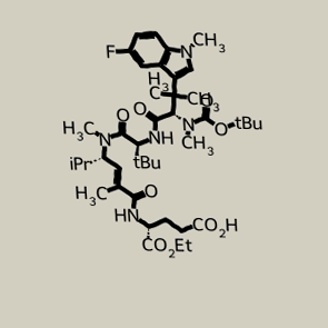 CCOC(=O)[C@@H](CCC(=O)O)NC(=O)/C(C)=C/[C@H](C(C)C)N(C)C(=O)[C@@H](NC(=O)[C@@H](N(C)C(=O)OC(C)(C)C)C(C)(C)c1cn(C)c2ccc(F)cc12)C(C)(C)C